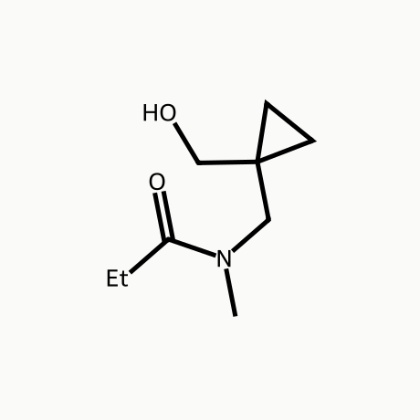 CCC(=O)N(C)CC1(CO)CC1